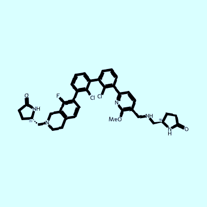 COc1nc(-c2cccc(-c3cccc(-c4ccc5c(c4F)CN(C[C@@H]4CCC(=O)N4)CC5)c3Cl)c2Cl)ccc1CNC[C@H]1CCC(=O)N1